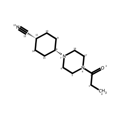 CCC(=O)N1CCN([C@H]2CC[C@@H](C#N)CC2)CC1